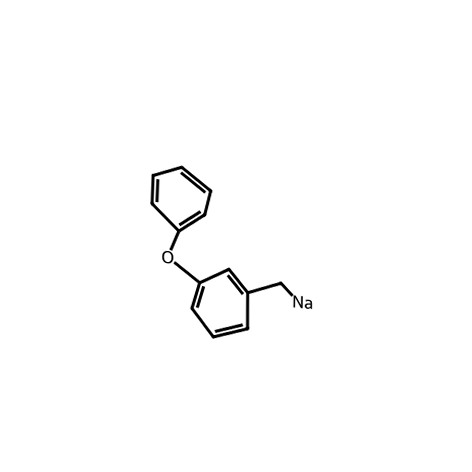 [Na][CH2]c1cccc(Oc2ccccc2)c1